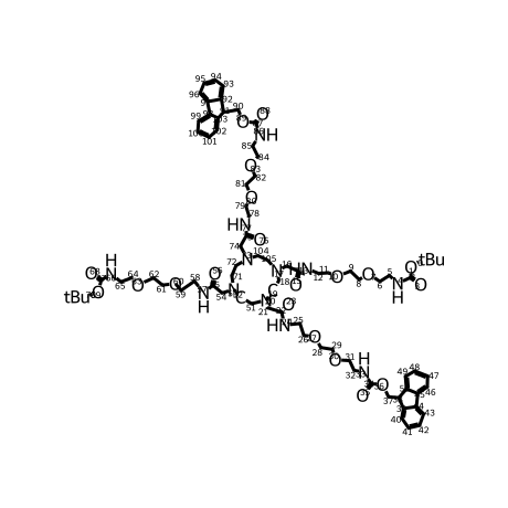 CC(C)(C)OC(=O)NCCOCCOCCNC(=O)CN1CCN(CC(=O)NCCOCCOCCNC(=O)OCC2c3ccccc3-c3ccccc32)CCN(CC(=O)NCCOCCOCCNC(=O)OC(C)(C)C)CCN(CC(=O)NCCOCCOCCNC(=O)OCC2c3ccccc3-c3ccccc32)CC1